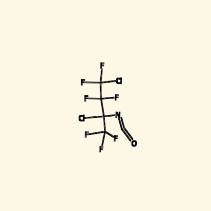 O=C=NC(Cl)(C(F)(F)F)C(F)(F)C(F)(F)Cl